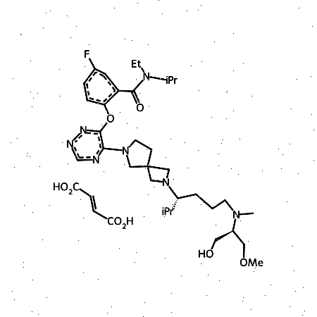 CCN(C(=O)c1cc(F)ccc1Oc1nncnc1N1CCC2(C1)CN([C@H](CCCN(C)[C@H](CO)COC)C(C)C)C2)C(C)C.O=C(O)/C=C/C(=O)O